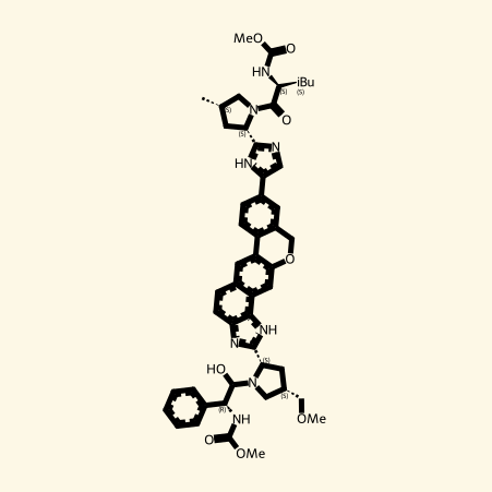 CC[C@H](C)[C@H](NC(=O)OC)C(=O)N1C[C@@H](C)C[C@H]1c1ncc(-c2ccc3c(c2)COc2cc4c(ccc5nc([C@@H]6C[C@H](COC)CN6C(O)[C@H](NC(=O)OC)c6ccccc6)[nH]c54)cc2-3)[nH]1